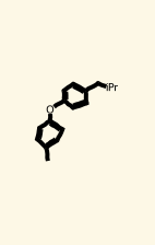 Cc1ccc(Oc2ccc(CC(C)C)cc2)cc1